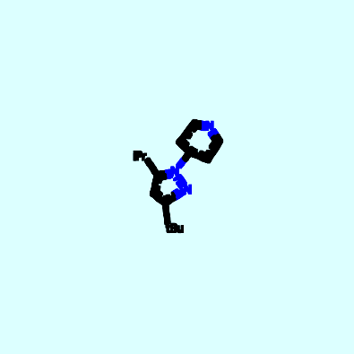 CC(C)c1cc(C(C)(C)C)nn1-c1ccncc1